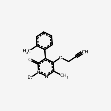 C#CCOc1c(C)nn(CC)c(=O)c1-c1ccccc1C